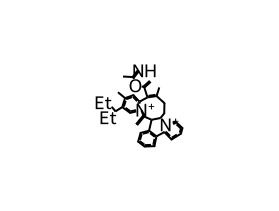 C=C(OC(C)=N)/C1=C(\C)CCC2C(C(=C)[n+]3cc(C(CC)CC)c(C)cc31)c1ccccc1-c1cccc[n+]12